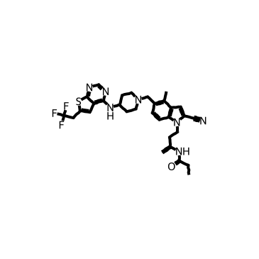 C=C(CCn1c(C#N)cc2c(C)c(CN3CCC(Nc4ncnc5sc(CC(F)(F)F)cc45)CC3)ccc21)NC(=O)CC